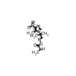 CNC(=O)ON=CC(C)(C)n1cnc([N+](=O)[O-])c1C